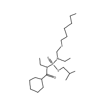 CCCCCCSCN(CC)P(=S)(SCC(C)C)N(CC)C(=O)C1CCCCC1